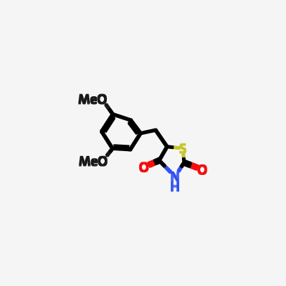 COc1cc(CC2SC(=O)NC2=O)cc(OC)c1